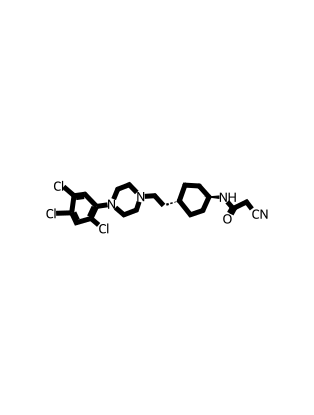 N#CCC(=O)N[C@H]1CC[C@H](CCN2CCN(c3cc(Cl)c(Cl)cc3Cl)CC2)CC1